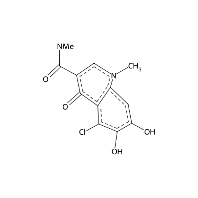 CNC(=O)c1cn(C)c2cc(O)c(O)c(Cl)c2c1=O